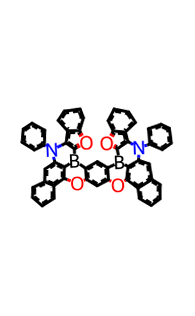 c1ccc(N2c3cc4ccccc4c4c3B(c3cc5c(cc3O4)Oc3c4c(cc6ccccc36)N(c3ccccc3)c3c(oc6ccccc36)B54)c3oc4ccccc4c32)cc1